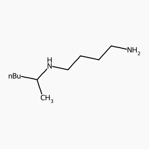 CCCCC(C)NCCCCN